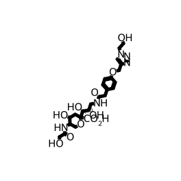 O=C(Cc1ccc(OCc2cn(CCO)nn2)cc1)NC[C@@H](O)[C@@H](O)C1(C(=O)O)CC(O)C(NC(=O)CO)CO1